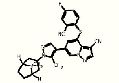 Cc1c(-c2cc(Sc3ccc(F)cc3C#N)c3c(C#N)cnn3c2)cnn1C1C[C@H]2CC[C@@H](C1)N2C